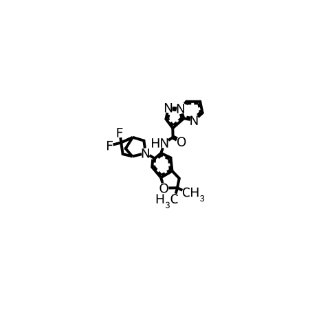 CC1(C)Cc2cc(NC(=O)c3cnn4cccnc34)c(N3CC4CC3CC4(F)F)cc2O1